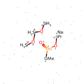 CCCO[PH](=O)OC.[Na].[SiH3]O[SiH2]O[SiH3]